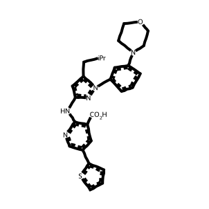 CC(C)Cc1cc(Nc2ncc(-c3cccs3)cc2C(=O)O)nn1-c1cccc(N2CCOCC2)c1